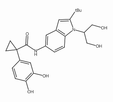 CC(C)(C)c1cc2cc(NC(=O)C3(c4ccc(O)c(O)c4)CC3)ccc2n1C(CO)CO